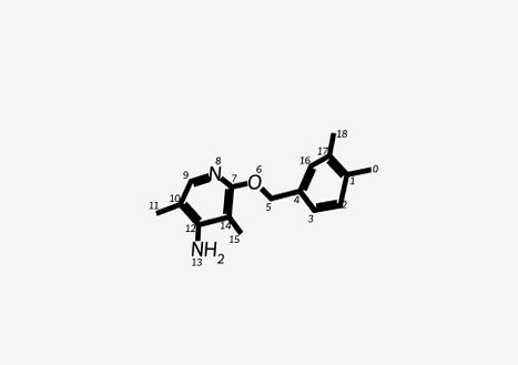 Cc1ccc(COc2ncc(C)c(N)c2C)cc1C